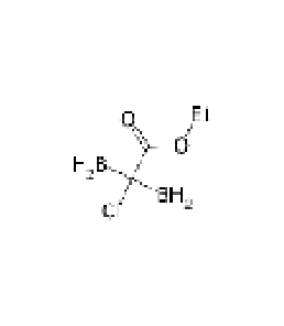 BC(B)(Cl)C(=O)OCC